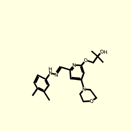 Cc1ccc(N/N=C/c2cc(N3CCOCC3)cc(OCC(C)(C)O)n2)cc1C